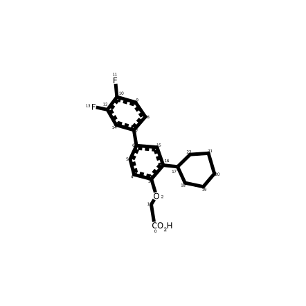 O=C(O)COc1ccc(-c2ccc(F)c(F)c2)cc1C1CCCCC1